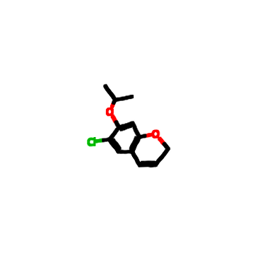 CC(C)Oc1cc2c(cc1Cl)C=CCO2